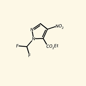 CCOC(=O)c1c([N+](=O)[O-])cnn1C(F)F